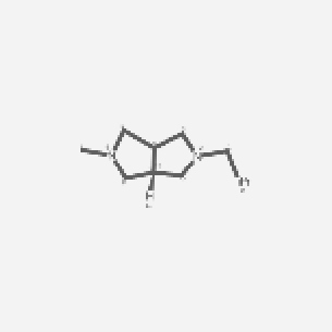 CC(C)CN1CC2CN(C)C[C@H]2C1